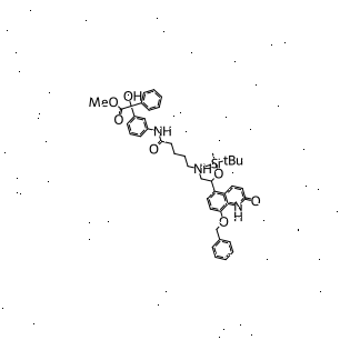 COC(=O)C(O)(c1ccccc1)c1cccc(NC(=O)CCCCNCC(O[Si](C)(C)C(C)(C)C)c2ccc(OCc3ccccc3)c3[nH]c(=O)ccc23)c1